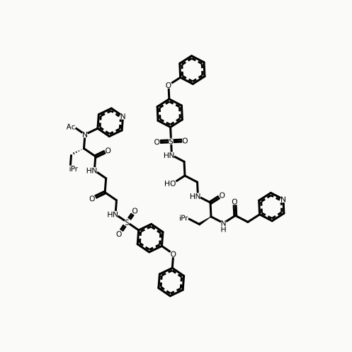 CC(=O)N(c1ccncc1)[C@@H](CC(C)C)C(=O)NCC(=O)CNS(=O)(=O)c1ccc(Oc2ccccc2)cc1.CC(C)C[C@H](NC(=O)Cc1ccncc1)C(=O)NCC(O)CNS(=O)(=O)c1ccc(Oc2ccccc2)cc1